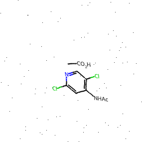 CC(=O)Nc1cc(Cl)ncc1Cl.CC(=O)O